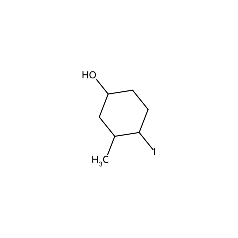 CC1CC(O)CCC1I